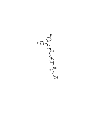 C#CCCC(=O)NCCN1CCN(C/C=C/C(=O)N2CCC(=C(c3ccc(F)cc3)c3ccc(F)cc3)CC2)CC1